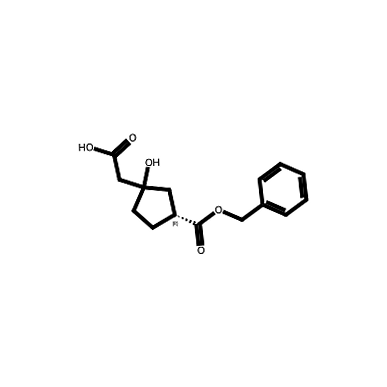 O=C(O)CC1(O)CC[C@@H](C(=O)OCc2ccccc2)C1